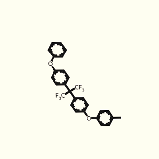 Cc1ccc(Oc2ccc(C(c3ccc(Oc4ccccc4)cc3)(C(F)(F)F)C(F)(F)F)cc2)cc1